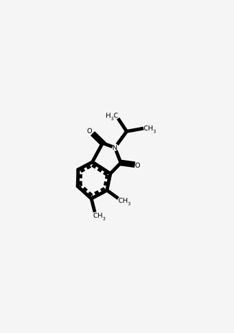 Cc1ccc2c(c1C)C(=O)N(C(C)C)C2=O